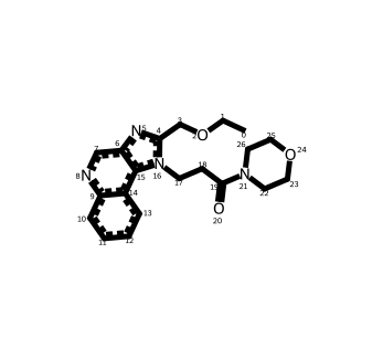 CCOCc1nc2cnc3ccccc3c2n1CCC(=O)N1CCOCC1